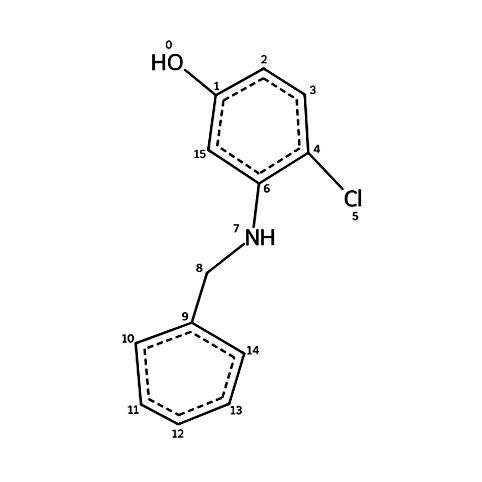 Oc1ccc(Cl)c(NCc2ccccc2)c1